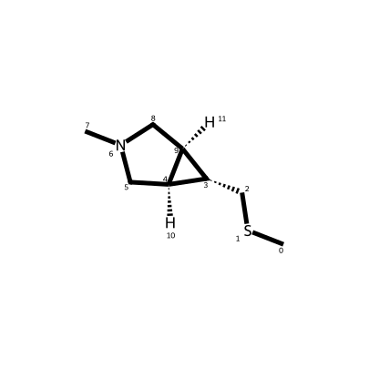 CSC[C@@H]1[C@H]2CN(C)C[C@@H]12